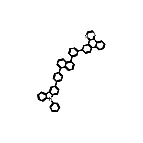 C1=CC(c2cccc(-c3cccc4c(-c5ccc(-c6ccc7c(c6)c6ccccc6n7-c6ccccc6)cc5)cccc34)c2)Cc2c1c1ccccc1c1nccnc21